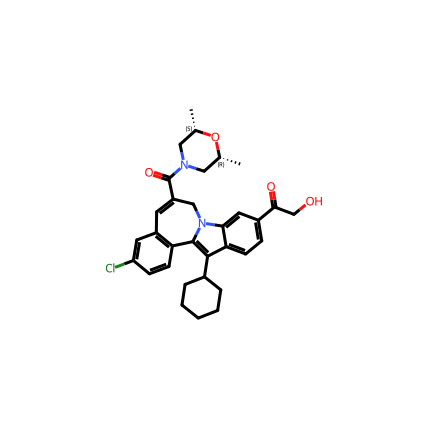 C[C@@H]1CN(C(=O)C2=Cc3cc(Cl)ccc3-c3c(C4CCCCC4)c4ccc(C(=O)CO)cc4n3C2)C[C@H](C)O1